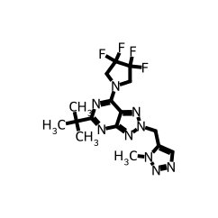 Cn1nncc1Cn1nc2nc(C(C)(C)C)nc(N3CC(F)(F)C(F)(F)C3)c2n1